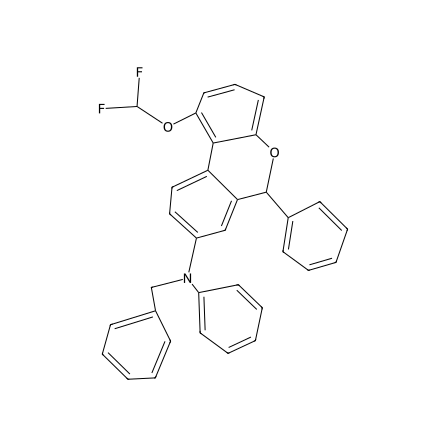 FC(F)Oc1cccc2c1-c1ccc(N(Cc3ccccc3)c3ccccc3)cc1C(c1ccccc1)O2